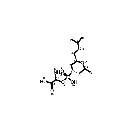 CC(C)OC[C@H](COP(=O)(O)O[C@H](N)C(=O)O)OC(C)C